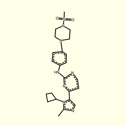 Cc1ncc(-c2ccnc(Nc3ccc(N4CCN(S(C)(=O)=O)CC4)cc3)n2)n1C1CCC1